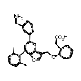 Cc1cccc(C)c1-c1cc(-c2cccc(CN)c2)cc2c(COc3ccccc3CC(=O)O)coc12